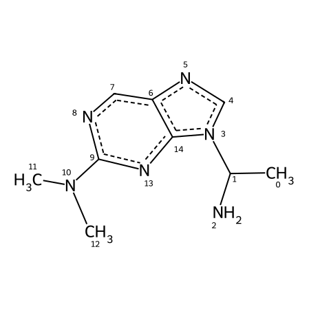 CC(N)n1cnc2cnc(N(C)C)nc21